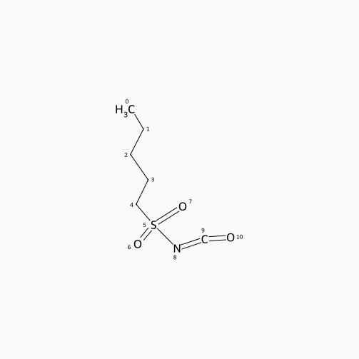 CCCCCS(=O)(=O)N=C=O